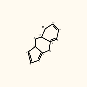 [C]1C2C=CC=C2CC2=CC=CCC12